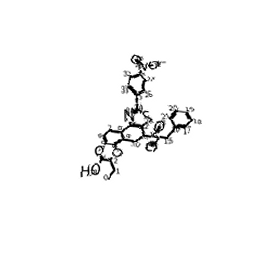 CCC(Oc1cccc2c1CC(S(=O)(=O)Cc1ccccc1)c1sc(-c3ccc([N+](=O)[O-])cc3)nc1-2)C(=O)O